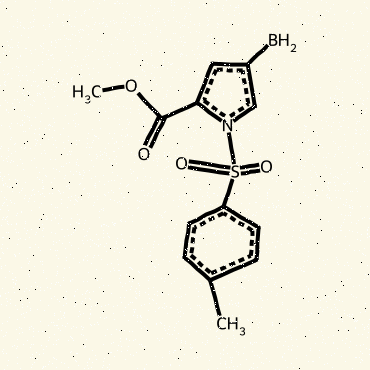 Bc1cc(C(=O)OC)n(S(=O)(=O)c2ccc(C)cc2)c1